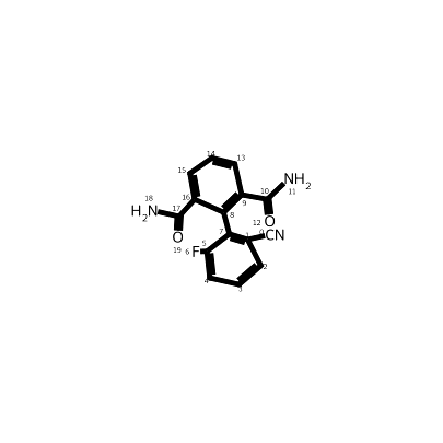 N#Cc1cccc(F)c1-c1c(C(N)=O)cccc1C(N)=O